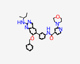 CC[C@H](C)Nc1ncc2cc(-c3cccc(NC(=O)c4ccnc(N5CCOCC5)c4)c3)c(OCc3ccccc3)cc2n1